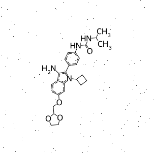 CC(C)NC(=O)Nc1ccc(-c2c(N)c3ccc(OCC4OCCO4)cc3n2C2CCC2)cc1